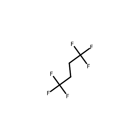 FC(F)(F)CCC(F)(F)F